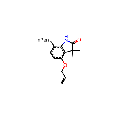 C=CCOc1ccc(CCCCC)c2c1C(C)(C)C(=O)N2